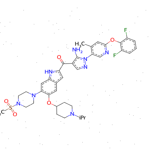 Cc1cc(Oc2c(F)cccc2F)ncc1-n1ncc(C(=O)c2cc3cc(OC4CCN(C(C)C)CC4)c(N4CCN(S(C)(=O)=O)CC4)cc3[nH]2)c1N